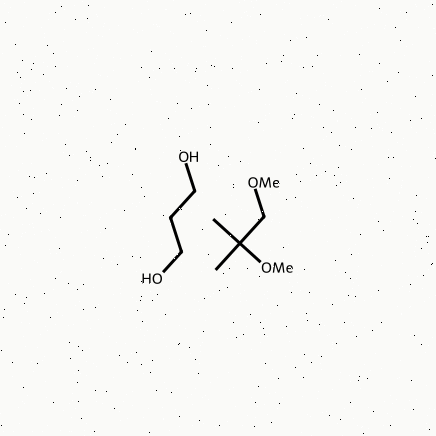 COCC(C)(C)OC.OCCCO